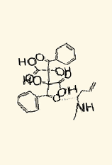 C=CC[C@@H](C)NC.O=C(O)C(O)(C(=O)c1ccccc1)C(O)(C(=O)O)C(=O)c1ccccc1